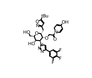 CC(C)(C)c1cc(C[C@H]2O[C@H](CO)[C@H](O)[C@H](n3cc(-c4cc(F)c(F)c(F)c4)nn3)[C@H]2OCC(=O)N2C=CC(O)=CC2)no1